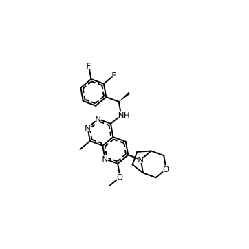 COc1nc2c(C)nnc(N[C@H](C)c3cccc(F)c3F)c2cc1N1C2CCC1COC2